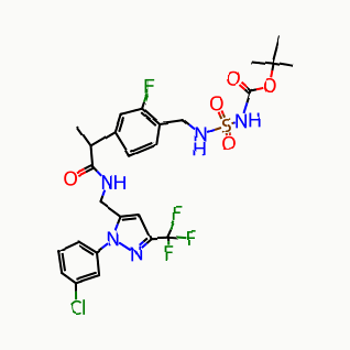 CC(C(=O)NCc1cc(C(F)(F)F)nn1-c1cccc(Cl)c1)c1ccc(CNS(=O)(=O)NC(=O)OC(C)(C)C)c(F)c1